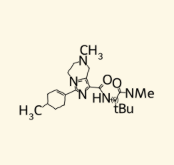 CNC(=O)[C@@H](NC(=O)c1nc(C2=CCC(C)CC2)n2c1CN(C)CC2)C(C)(C)C